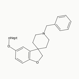 CCCCCCCOc1ccc2c(c1)C1(CCN(Cc3ccccc3)CC1)CO2